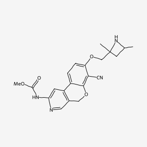 COC(=O)Nc1cc2c(cn1)COc1c-2ccc(OCC2(C)CC(C)N2)c1C#N